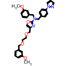 COc1cccc(COCCOCc2coc(N(Cc3ccc(-n4cccn4)cc3)Cc3cccc(OC)c3)n2)c1